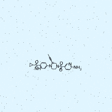 CC#C[C@H]1CN(S(=O)(=O)c2ccc(N)nc2)CCN1c1ccc(S(=N)(=O)C2CC2)cc1